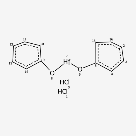 Cl.Cl.c1ccc([O][Hf][O]c2ccccc2)cc1